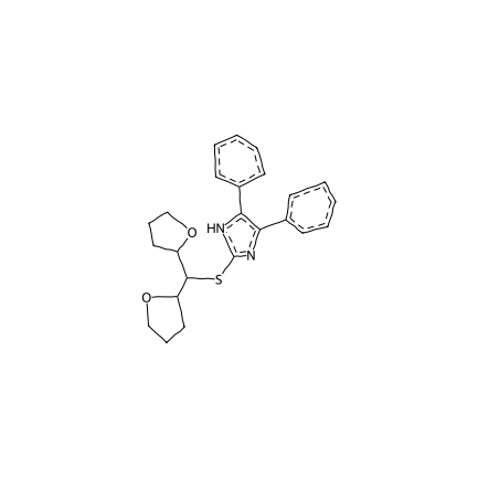 c1ccc(-c2nc(SC(C3CCCO3)C3CCCO3)[nH]c2-c2ccccc2)cc1